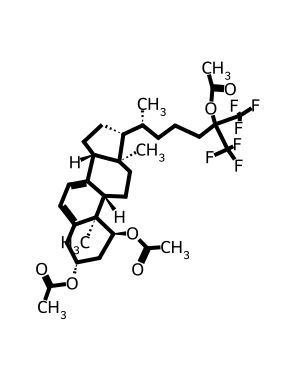 CC(=O)O[C@@H]1CC2=CC=C3[C@@H]4CC[C@H]([C@H](C)CCCC(OC(C)=O)(C(F)(F)F)C(F)(F)F)[C@@]4(C)CC[C@@H]3[C@@]2(C)[C@@H](OC(C)=O)C1